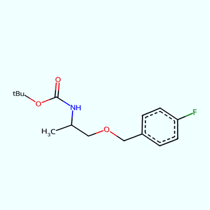 CC(COCc1ccc(F)cc1)NC(=O)OC(C)(C)C